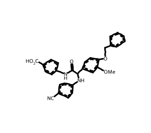 COc1cc(C(Nc2ccc(C#N)cc2)C(=O)Nc2ccc(C(=O)O)cc2)ccc1OCc1ccccc1